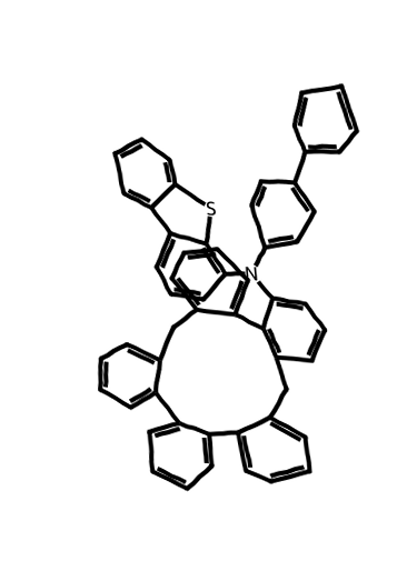 c1ccc(-c2ccc(N(c3cccc4c3-c3ccccc3Cc3ccccc3-c3ccccc3-c3ccccc3C4)c3cccc4c3sc3ccccc34)cc2)cc1